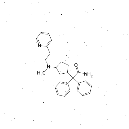 CN(CCc1ccccn1)C1CCC(C(C(N)=O)(c2ccccc2)c2ccccc2)C1